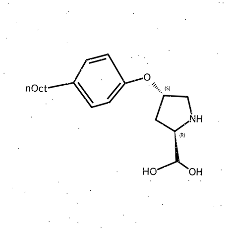 CCCCCCCCc1ccc(O[C@@H]2CN[C@@H](C(O)O)C2)cc1